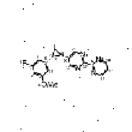 COc1cc(F)cc([C@@H]2C[C@H]2c2cnc(-c3ncccn3)nc2)c1